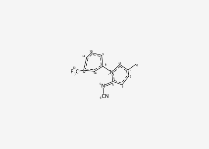 Cc1cc/c(=N\C#N)n(-c2cccc(C(F)(F)F)c2)c1